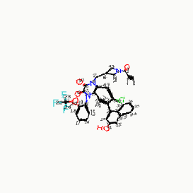 C=CC(=O)N1CC(Cn2c(=O)c(=O)n(-c3ccccc3OC(F)(F)F)c3cc(-c4cc(O)cc5ccccc45)c(Cl)cc32)C1